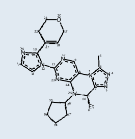 CC[C@@H]1c2nnc(C)n2-c2cnc(-n3ccnc3C3=CCOCC3)nc2N1C1CCCC1